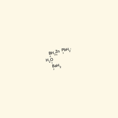 B.O.[BaH2].[PbH2].[Zn]